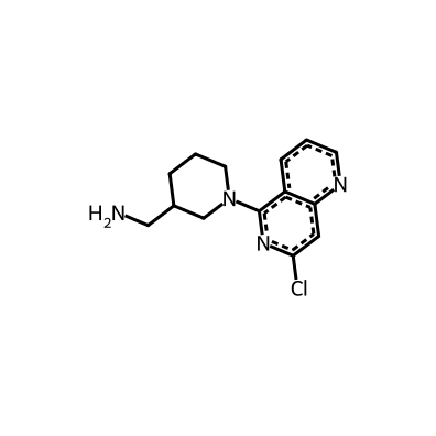 NCC1CCCN(c2nc(Cl)cc3ncccc23)C1